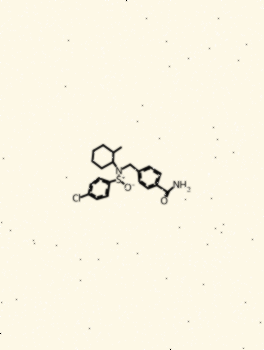 CC1CCCCC1N(Cc1ccc(C(N)=O)cc1)[S+]([O-])c1ccc(Cl)cc1